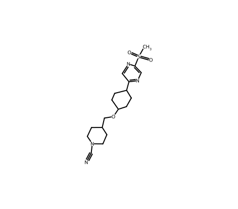 CS(=O)(=O)c1cnc(C2CCC(OCC3CCN(C#N)CC3)CC2)cn1